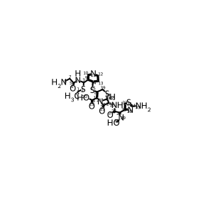 CCSC(NC(=O)CN)c1cnccc1SC1=C(C(=O)O)N2C(=O)[C@@H](NC(=O)/C(=N\O)c3csc(N)n3)[C@@H]2SC1